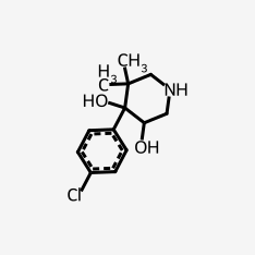 CC1(C)CNCC(O)C1(O)c1ccc(Cl)cc1